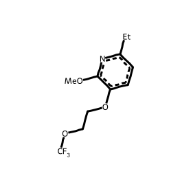 CCc1ccc(OCCOC(F)(F)F)c(OC)n1